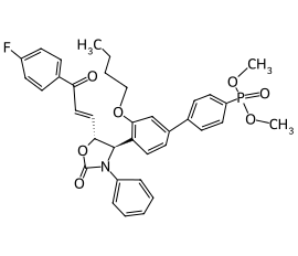 CCCCOc1cc(-c2ccc(P(=O)(OC)OC)cc2)ccc1[C@@H]1[C@@H](/C=C/C(=O)c2ccc(F)cc2)OC(=O)N1c1ccccc1